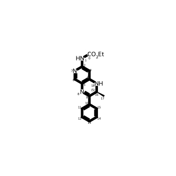 CCOC(=O)Nc1cc2c(cn1)N=C(c1ccccc1)[C@H](C)N2